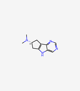 CN(C)[C@H]1Cc2[nH]c3cncnc3c2C1